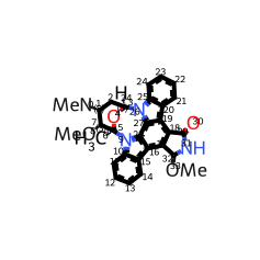 CN[C@H]1C[C@@H]2O[C@](C)([C@H]1OC)n1c3ccccc3c3c4c(c5c6ccccc6n2c5c31)C(=O)NC4OC